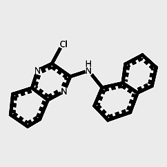 Clc1nc2ccccc2nc1Nc1cccc2ccccc12